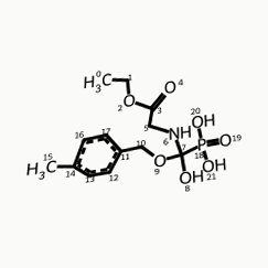 CCOC(=O)CNC(O)(OCc1ccc(C)cc1)P(=O)(O)O